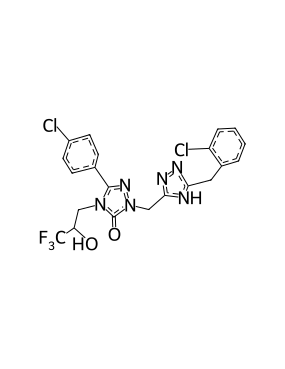 O=c1n(Cc2nnc(Cc3ccccc3Cl)[nH]2)nc(-c2ccc(Cl)cc2)n1CC(O)C(F)(F)F